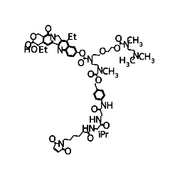 CCc1c2c(nc3ccc(OC(=O)N(CCOCCOC(=O)N(C)CCN(C)C)CCN(C)C(=O)OCc4ccc(NC(=O)CNC(=O)[C@@H](NC(=O)CCCCCN5C(=O)C=CC5=O)C(C)C)cc4)cc13)-c1cc3c(c(=O)n1C2)COC(=O)[C@@]3(O)CC